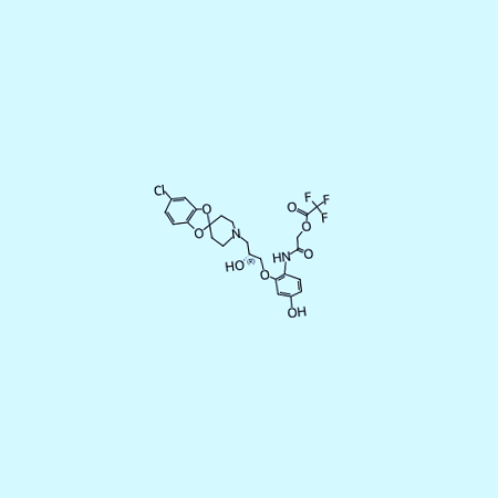 O=C(COC(=O)C(F)(F)F)Nc1ccc(O)cc1OC[C@H](O)CN1CCC2(CC1)Oc1ccc(Cl)cc1O2